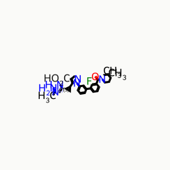 CN(N)/C=C(\N)[C@H]1CC1c1c(C(=O)O)cnn1-c1cccc(-c2cccc(C(=O)N3CCCC(C)(C)C3)c2F)c1